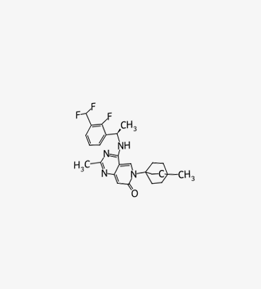 Cc1nc(N[C@H](C)c2cccc(C(F)F)c2F)c2cn(C34CCC(C)(CC3)CC4)c(=O)cc2n1